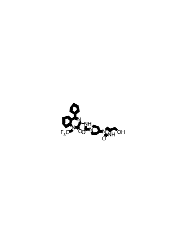 O=C(N[C@@H]1N=C(c2ccccc2)c2ccccc2N(CC(F)(F)F)C1=O)N1CCC(n2cc(CO)[nH]c2=O)CC1